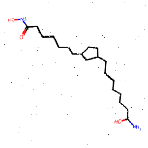 NC(O)CCCCCCCC1CCC(CCCCCCC(=O)NO)C1